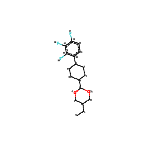 CCC1COC(C2CCC(c3ccc(F)c(F)c3F)CC2)OC1